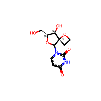 O=c1ccn(C2O[C@H](CO)[C@@H](O)[C@@]23CCO3)c(=O)[nH]1